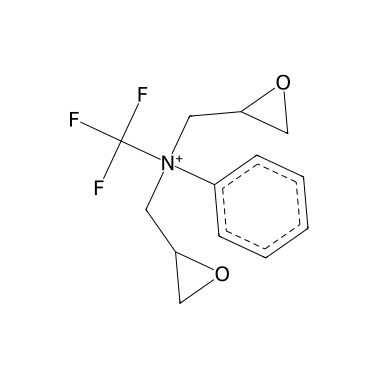 FC(F)(F)[N+](CC1CO1)(CC1CO1)c1ccccc1